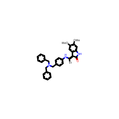 CCC(Nc1ccc(CN(Cc2ccccc2)Cc2ccccc2)cc1)=C1C(=O)Nc2cc(OC)c(OC)cc21